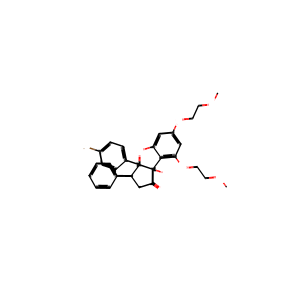 COCCOc1cc(OCCOC)c2c(c1)OC1(c3ccc(Br)cc3)C(c3ccccc3)CC(=O)C21O